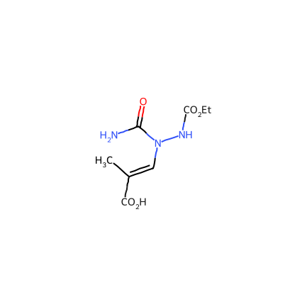 CCOC(=O)NN(C=C(C)C(=O)O)C(N)=O